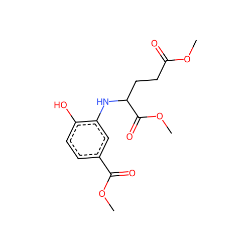 COC(=O)CCC(Nc1cc(C(=O)OC)ccc1O)C(=O)OC